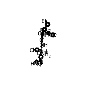 CCc1cccc(-c2cnc(C(=O)NCCOCCNCC[C@H](NC(=O)C3(N)CCN(c4ncnc5[nH]ccc45)CC3)c3ccc(Cl)cc3)c(NC(=O)CN3CCOCC3)c2)c1